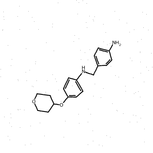 Nc1ccc(CNc2ccc(OC3CCOCC3)cc2)cc1